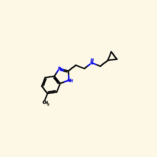 Cc1ccc2nc(CCNCC3CC3)[nH]c2c1